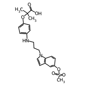 CC(C)(Oc1ccc(NCCCn2ccc3cc(OS(C)(=O)=O)ccc32)cc1)C(=O)O